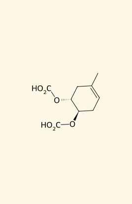 CC1=CC[C@@H](OC(=O)O)[C@H](OC(=O)O)C1